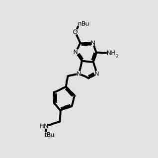 CCCCOc1nc(N)c2ncn(Cc3ccc(CNC(C)(C)C)cc3)c2n1